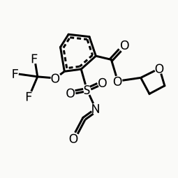 O=C=NS(=O)(=O)c1c(OC(F)(F)F)cccc1C(=O)OC1CCO1